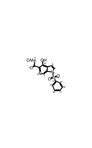 COC(=O)c1ncc2c(ccn2S(=O)(=O)c2ccccc2)c1O